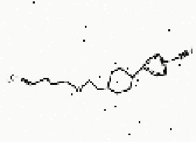 C/C=C/CCCOCCC1CCC(c2ccc(C#N)cc2)CC1